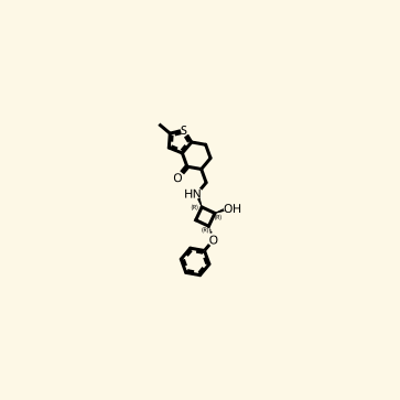 Cc1cc2c(s1)CCC(CN[C@@H]1C[C@@H](Oc3ccccc3)[C@@H]1O)C2=O